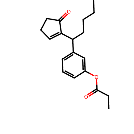 CCCCC(C1=CCCC1=O)c1cccc(OC(=O)CC)c1